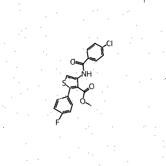 COC(=O)c1c(NC(=O)c2ccc(Cl)cc2)csc1-c1ccc(F)cc1